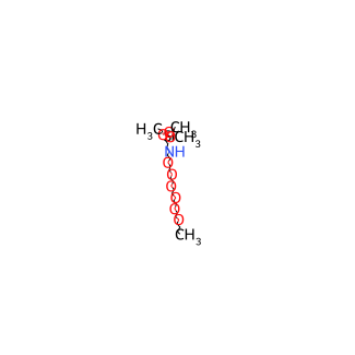 CCCCOCCOCCOCCOCCOCCOCCNCCC[Si](OCC)(OCC)OCC